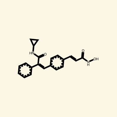 O=C(C=Cc1ccc(C=C(C(=O)NC2CC2)c2ccccc2)cc1)NO